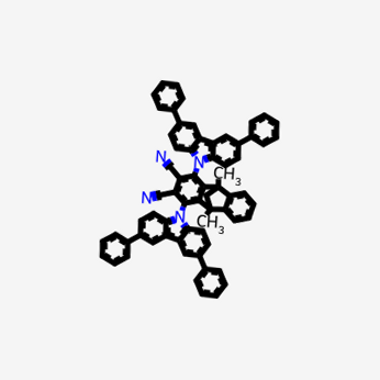 CC12CC(C)(c3ccccc31)c1c(-n3c4ccc(-c5ccccc5)cc4c4cc(-c5ccccc5)ccc43)c(C#N)c(C#N)c(-n3c4ccc(-c5ccccc5)cc4c4cc(-c5ccccc5)ccc43)c12